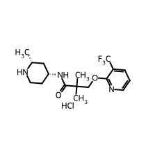 C[C@@H]1C[C@H](NC(=O)C(C)(C)COc2ncccc2C(F)(F)F)CCN1.Cl